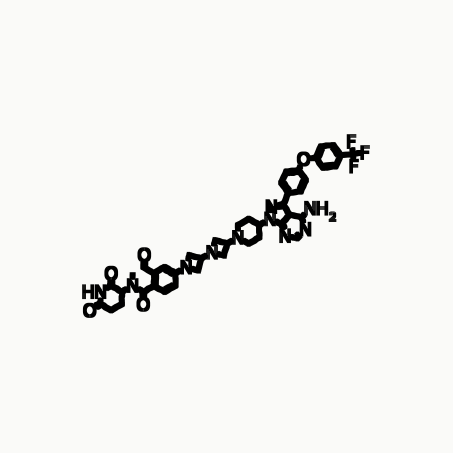 CN(C(=O)c1ccc(N2CC(N3CC(N4CCC(N5N=C(c6ccc(Oc7ccc(C(F)(F)F)cc7)cc6)C6C5=NC=NC6N)CC4)C3)C2)cc1C=O)C1CCC(=O)NC1=O